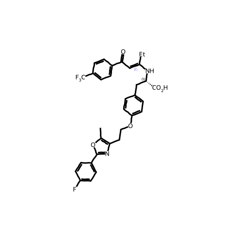 CC/C(=C\C(=O)c1ccc(C(F)(F)F)cc1)N[C@@H](Cc1ccc(OCCc2nc(-c3ccc(F)cc3)oc2C)cc1)C(=O)O